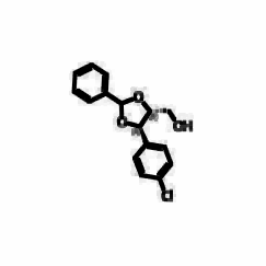 OC[C@H]1OC(c2ccccc2)O[C@@H]1c1ccc(Cl)cc1